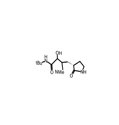 CNC(C[C@@H]1CCNC1=O)C(O)C(=O)NC(C)(C)C